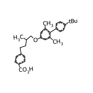 Cc1cc(OCC(C)CCc2ccc(C(=O)O)cc2)cc(C)c1-c1ccc(C(C)(C)C)cc1